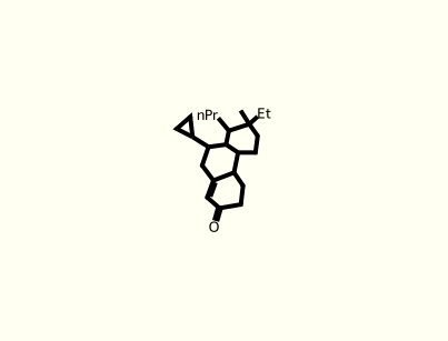 CCCC1C2C(C3CC3)CC3=CC(=O)CCC3C2CCC1(C)CC